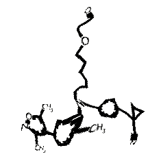 Cc1ccc(-c2c(C)noc2C)cc1N(CCCCCOCC=O)c1ccc(C2(C#N)CC2)cc1